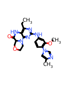 CCc1nc(Nc2ccc(-n3cnc(C)c3)c(OC)c2)nc2c1NC(=O)C1COCCN21